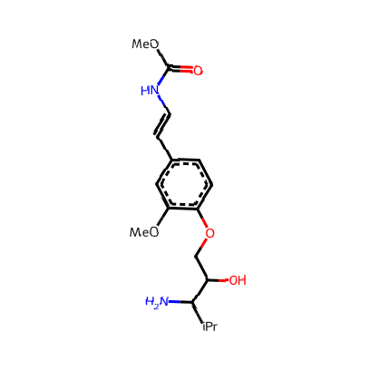 COC(=O)NC=Cc1ccc(OCC(O)C(N)C(C)C)c(OC)c1